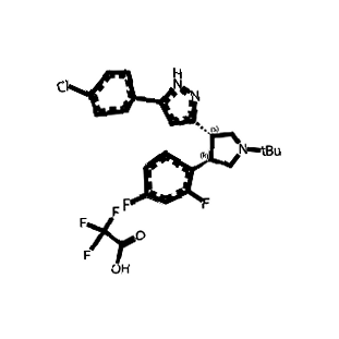 CC(C)(C)N1C[C@@H](c2cc(-c3ccc(Cl)cc3)[nH]n2)[C@H](c2ccc(F)cc2F)C1.O=C(O)C(F)(F)F